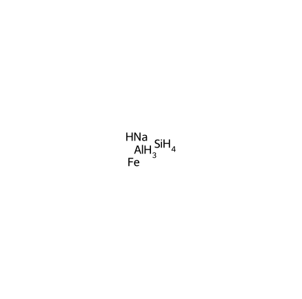 [AlH3].[Fe].[NaH].[SiH4]